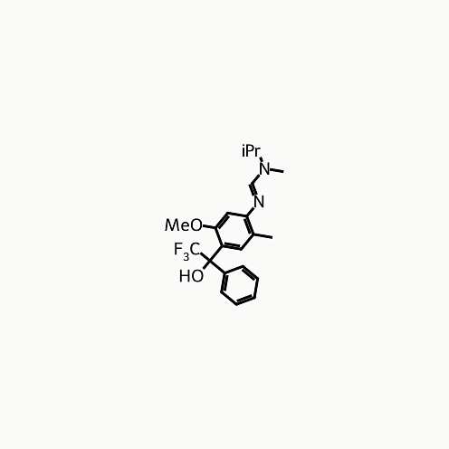 COc1cc(/N=C/N(C)C(C)C)c(C)cc1C(O)(c1ccccc1)C(F)(F)F